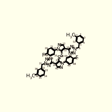 Cc1cccc(Cn2nnc(-c3cnn(-c4ccc(F)cc4)c3SSc3c(-c4nnn(Cc5cccc(C)c5)n4)cnn3-c3ccc(F)cc3)n2)c1